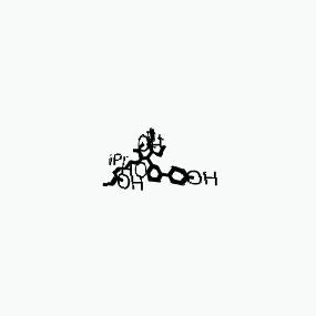 C=C/C=C(\C=C/CC)C(C(/C=C(/C/C=C\C(O)=C/C)C(C)C)=C(/C)O)c1cc(-c2ccc(O)cc2)ccc1O